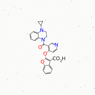 O=C(O)c1c(Oc2ccncc2C(=O)N2CCN(C3CC3)c3ccccc32)oc2ccccc12